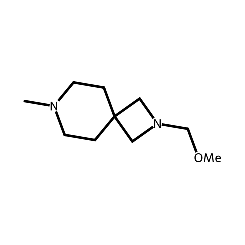 COCN1CC2(CCN(C)CC2)C1